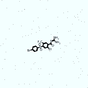 CCc1cc(S(=O)(=O)c2ccc(Br)cc2)c(C(F)(F)F)cc1C(=O)N=C(N)N